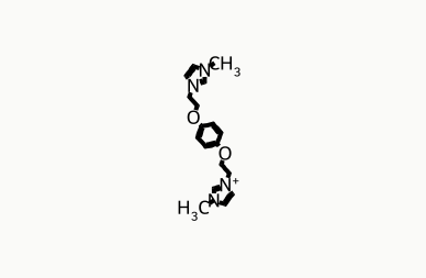 Cn1cc[n+](CCOc2ccc(OCC[n+]3ccn(C)c3)cc2)c1